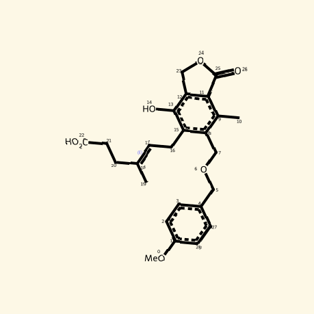 COc1ccc(COCc2c(C)c3c(c(O)c2C/C=C(\C)CCC(=O)O)COC3=O)cc1